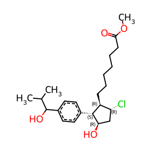 COC(=O)CCCCCC[C@@H]1[C@@H](c2ccc(C(O)C(C)C)cc2)[C@H](O)C[C@H]1Cl